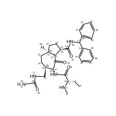 CC[C@H](NC)C(=O)N[C@@H]1C(=O)N2[C@@H](CC[C@@H]1CNC(N)=O)CC[C@H]2C(=O)NC(c1ccccc1)c1ccccc1